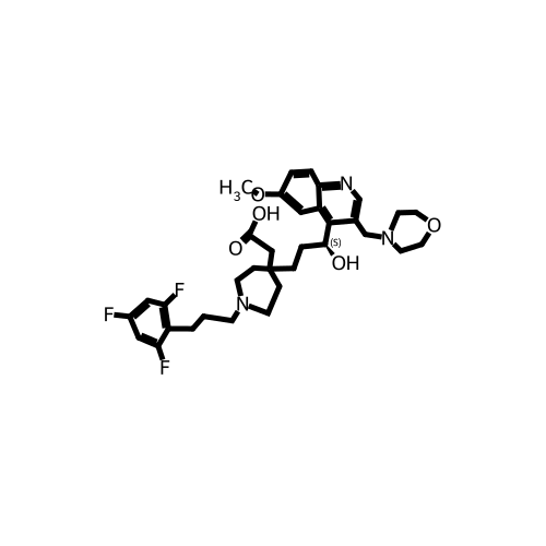 COc1ccc2ncc(CN3CCOCC3)c([C@@H](O)CCC3(CC(=O)O)CCN(CCCc4c(F)cc(F)cc4F)CC3)c2c1